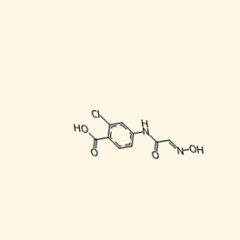 O=C(C=NO)Nc1ccc(C(=O)O)c(Cl)c1